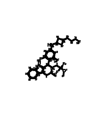 COC(F)(F)CN1C(C)Cc2c([nH]c3ccccc23)C1c1c(F)cc(NC2CN(CCCF)C2)cc1F